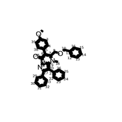 COc1ccc(-c2c(COCc3ccccc3)n(C)c3c(-c4ccccc4)c(-c4ccccc4)nn3c2=O)cc1